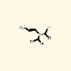 CC=C[SiH](C(CC)CC)C(CC)CC